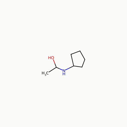 CC(O)NC1CCCC1